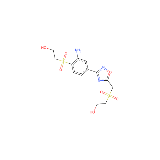 Nc1cc(-c2noc(CS(=O)(=O)CCO)n2)ccc1S(=O)(=O)CCO